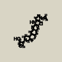 Cc1cc2cnc(Nc3cnn(C4CC4)c3Cl)nc2cc1C1CCN(C2COCC2O)CC1F